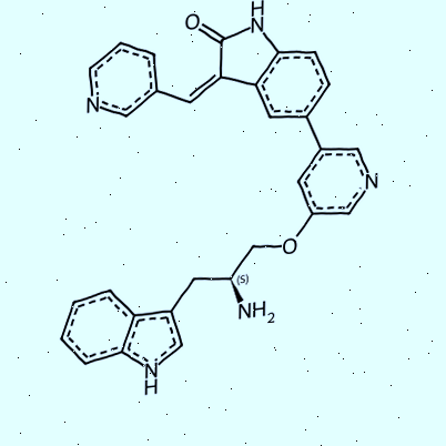 N[C@H](COc1cncc(-c2ccc3c(c2)C(=Cc2cccnc2)C(=O)N3)c1)Cc1c[nH]c2ccccc12